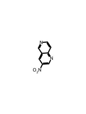 O=[N+]([O-])c1cnc2ccncc2c1